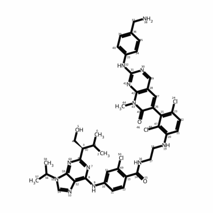 CC(C)[C@H](CO)c1nc(Nc2ccc(C(=O)NCCNc3ccc(Cl)c(-c4cc5cnc(Nc6ccc(CN)cc6)nc5n(C)c4=O)c3Cl)c(Cl)c2)c2ncn(C(C)C)c2n1